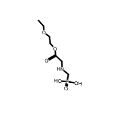 CCOCCOC(=O)CNCP(=O)(O)O